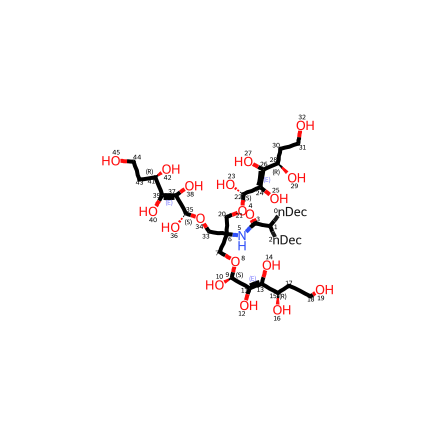 CCCCCCCCCCC(CCCCCCCCCC)C(=O)NC(CO[C@H](O)/C(O)=C(\O)[C@H](O)CCO)(CO[C@H](O)/C(O)=C(\O)[C@H](O)CCO)CO[C@H](O)/C(O)=C(\O)[C@H](O)CCO